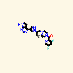 N#CCC(CN1CCN(C(=O)c2ncc(F)cc2F)CC1)n1cc(-c2ncnc3[nH]ccc23)cn1